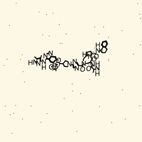 CNC(C)C(=O)N[C@H]1CN(C(=O)c2cnc(N3CCC(COc4cc5ncnc(Nc6n[nH]c(C)c6C)c5cc4S(=O)(=O)C(C)(C)C)CC3)cn2)CC[C@H]2CC[C@@H](C(=O)N[C@@H]3CCCc4ccccc43)N2C1=O